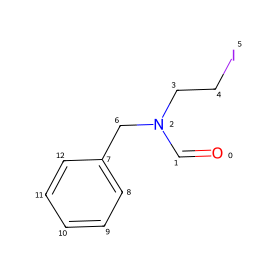 O=CN(CCI)Cc1ccccc1